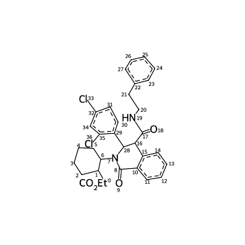 CCOC(=O)C1CCCCC1N1C(=O)c2ccccc2C(C(=O)NCCc2ccccc2)C1c1ccc(Cl)cc1Cl